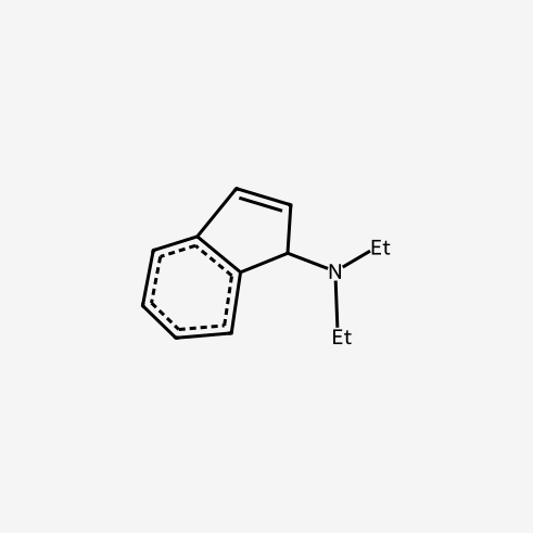 CCN(CC)C1C=Cc2ccccc21